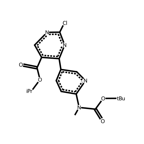 CC(C)OC(=O)c1cnc(Cl)nc1-c1ccc(N(C)C(=O)OC(C)(C)C)nc1